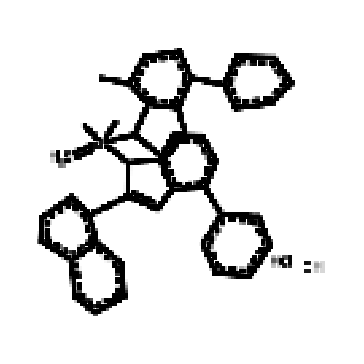 CC1=Cc2c(-c3ccccc3)ccc(C)c2[CH]1[Zr]([CH3])([CH3])(=[SiH2])[CH]1C(c2cccc3ccccc23)=Cc2c(-c3ccccc3)cccc21.Cl.Cl